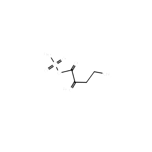 C=C(CCC)C(=O)OS(=O)(=O)O